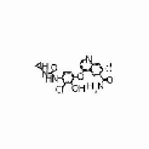 COc1cc2nccc(Oc3ccc(NC(=O)NC4CC4)c(Cl)c3O)c2cc1C(N)=O